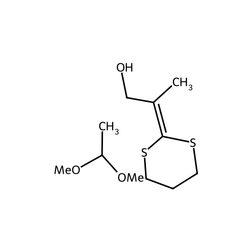 CC(CO)=C1SCCCS1.COC(C)OC